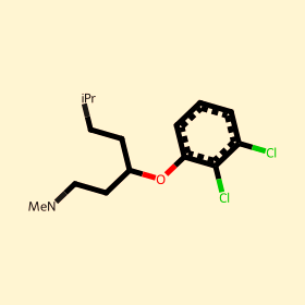 CNCCC(CCC(C)C)Oc1cccc(Cl)c1Cl